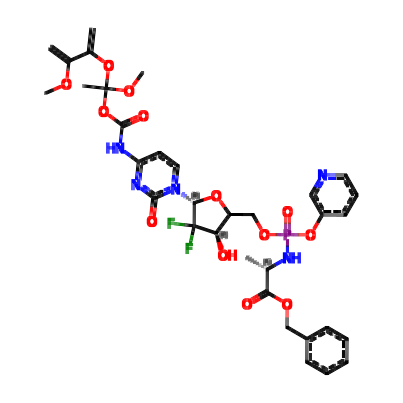 C=C(OC)C(=C)OC(C)(OC)OC(=O)Nc1ccn([C@@H]2OC(COP(=O)(N[C@@H](C)C(=O)OCc3ccccc3)Oc3cccnc3)[C@@H](O)C2(F)F)c(=O)n1